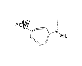 CCN(C)c1cccc(NC(C)=O)c1